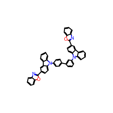 c1cc(-c2ccc(-n3c4ccccc4c4cc(-c5nc6ccccc6o5)ccc43)cc2)cc(-n2c3ccccc3c3cc(-c4nc5ccccc5o4)ccc32)c1